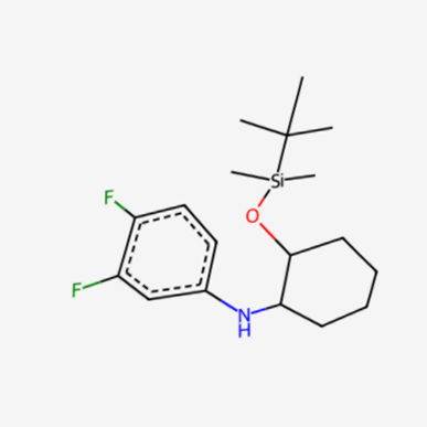 CC(C)(C)[Si](C)(C)OC1CCCCC1Nc1ccc(F)c(F)c1